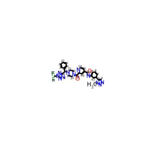 Cn1nncc1-c1ccc2oc(-c3ccnc(C(=O)N4CCN(C(c5ccccc5)c5nnn(C(F)F)n5)CC4)c3)nc2c1